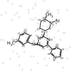 CC(=O)N1C[C@@H](c2nc(Nc3cncc(C)c3)cc(-c3cnccn3)n2)CC[C@H]1C